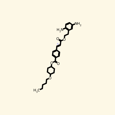 CCCCCOC1CCC(OC(=O)c2ccc(/C=C/C(=O)OCCc3cc(N)ccc3N)cc2)CC1